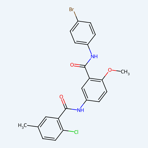 COc1ccc(NC(=O)c2cc(C)ccc2Cl)cc1C(=O)Nc1ccc(Br)cc1